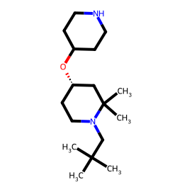 CC(C)(C)CN1CC[C@H](OC2CCNCC2)CC1(C)C